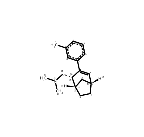 Cc1cccc(C2=C[C@@H]3CC[C@@H](C3)[C@@H]2CN(C)C)c1